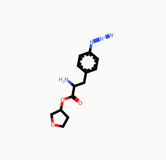 [N-]=[N+]=Nc1ccc(CC(N)C(=O)OC2CCOC2)cc1